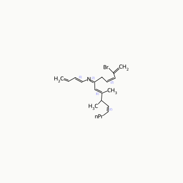 C=C/C=C/N=C(\C=C(/C)C(C)/C=C\CCC)C/C=C\C(=C)Br